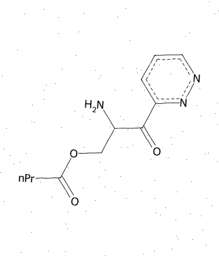 CCCC(=O)OCC(N)C(=O)c1cccnn1